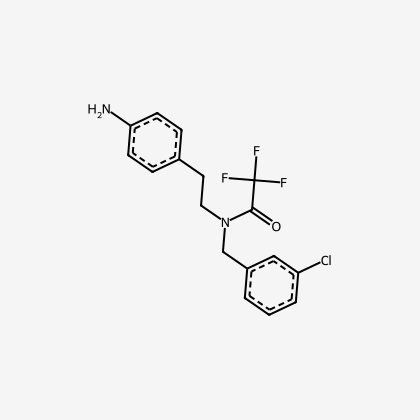 Nc1ccc(CCN(Cc2cccc(Cl)c2)C(=O)C(F)(F)F)cc1